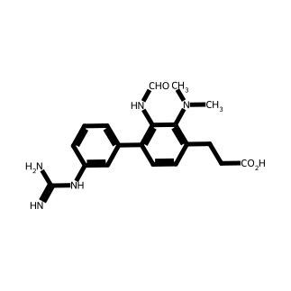 CN(C)c1c(CCC(=O)O)ccc(-c2cccc(NC(=N)N)c2)c1NC=O